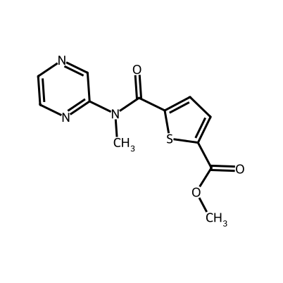 COC(=O)c1ccc(C(=O)N(C)c2cnccn2)s1